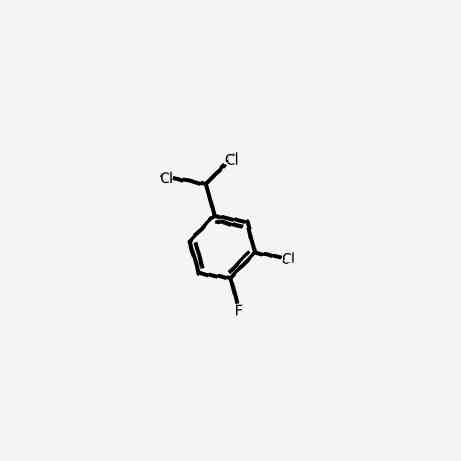 Fc1ccc(C(Cl)Cl)cc1Cl